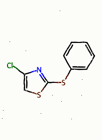 Clc1csc(Sc2ccccc2)n1